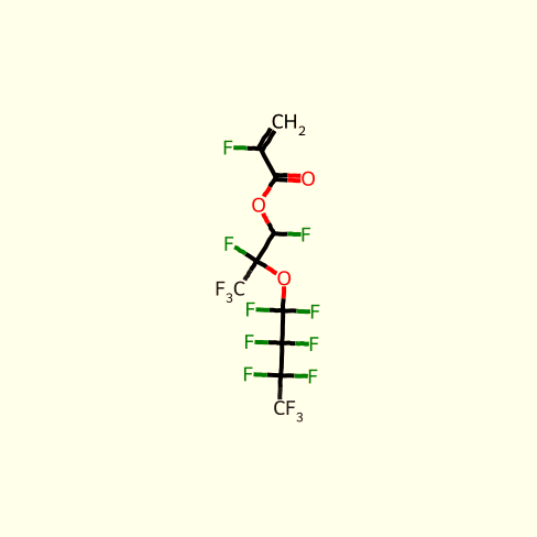 C=C(F)C(=O)OC(F)C(F)(OC(F)(F)C(F)(F)C(F)(F)C(F)(F)F)C(F)(F)F